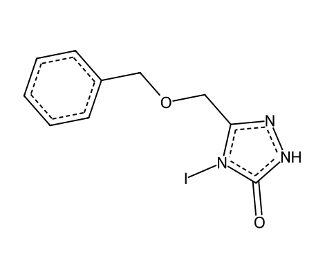 O=c1[nH]nc(COCc2ccccc2)n1I